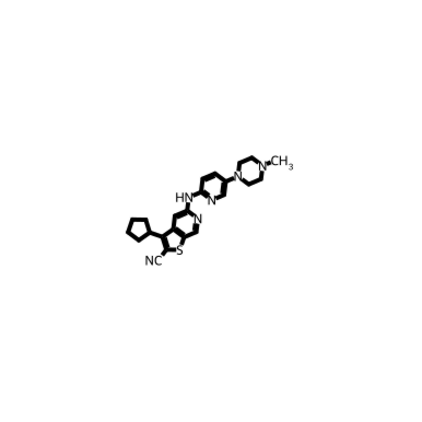 CN1CCN(c2ccc(Nc3cc4c(C5CCCC5)c(C#N)sc4cn3)nc2)CC1